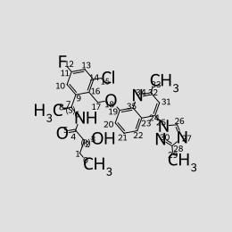 CC[C@@H](O)C(=O)N[C@@H](C)c1cc(F)cc(Cl)c1COc1cccc2c(-n3cnc(C)n3)cc(C)nc12